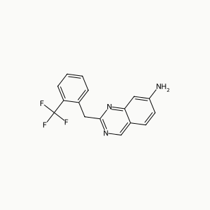 Nc1ccc2cnc(Cc3ccccc3C(F)(F)F)nc2c1